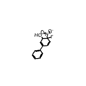 O=[N+]([O-])C1(F)C=CC(c2ccccc2)=CC1O